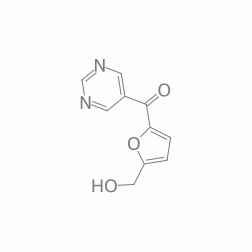 O=C(c1cncnc1)c1ccc(CO)o1